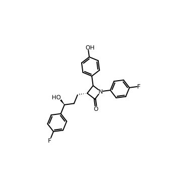 O=C1[C@H](CC[C@H](O)c2ccc(F)cc2)C(c2ccc(O)cc2)N1c1ccc(F)cc1